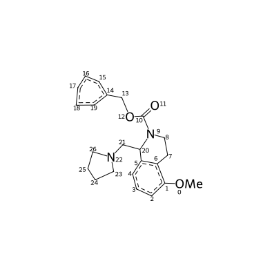 COc1cccc2c1CCN(C(=O)OCc1ccccc1)C2CN1CCCC1